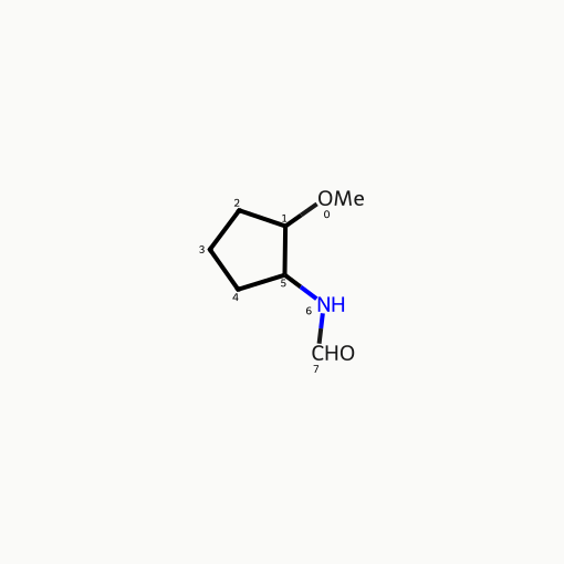 COC1CCCC1NC=O